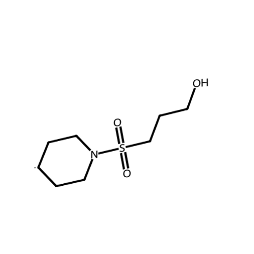 O=S(=O)(CCCO)N1CC[CH]CC1